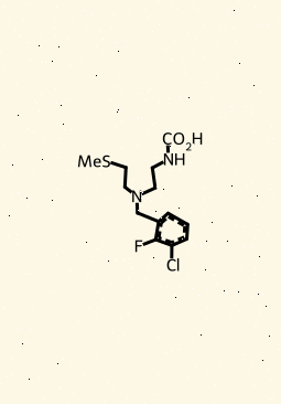 CSCCN(CCNC(=O)O)Cc1cccc(Cl)c1F